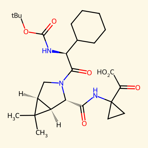 CC(C)(C)OC(=O)N[C@H](C(=O)N1C[C@H]2[C@@H]([C@H]1C(=O)NC1(C(=O)C(=O)O)CC1)C2(C)C)C1CCCCC1